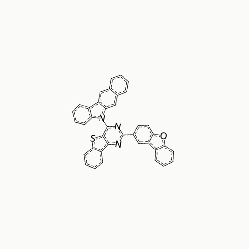 c1ccc2cc3c(cc2c1)c1ccccc1n3-c1nc(-c2ccc3oc4ccccc4c3c2)nc2c1sc1ccccc12